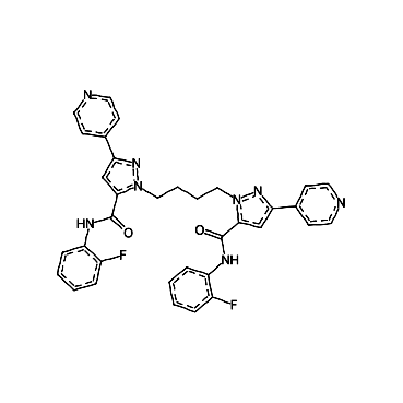 O=C(Nc1ccccc1F)c1cc(-c2ccncc2)nn1CCCCn1nc(-c2ccncc2)cc1C(=O)Nc1ccccc1F